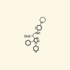 O=CC(CNc1ccc(N2CCCCC2)cn1)c1nnn(-c2ccncc2)c1-c1ccccc1